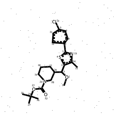 COC(c1sc(-c2ccc(Cl)cc2)nc1C)C1CCCN(C(=O)OC(C)(C)C)C1